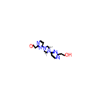 C[C@@H]1CN(c2ccnc(CC=O)n2)C[C@H](C)N1c1ccnc(CCO)n1